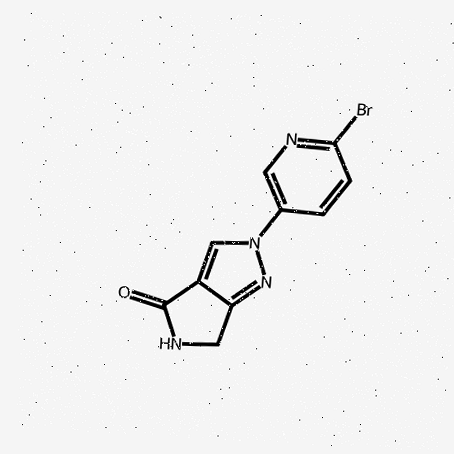 O=C1NCc2nn(-c3ccc(Br)nc3)cc21